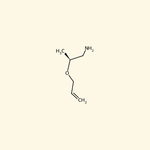 C=CCO[C@@H](C)CN